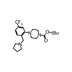 CC(C)(C)OC(=O)N1CCN(c2cc(C(F)(F)F)ccc2CN2CCCC2)CC1